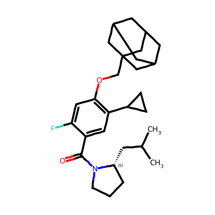 C[C](C)C[C@@H]1CCCN1C(=O)c1cc(C2CC2)c(OCC23CC4CC(CC(C4)C2)C3)cc1F